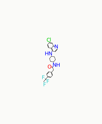 O=C(Cc1ccc(C(F)(F)CF)cc1)NC1CCC(Nc2ccnc3cc(Cl)ccc23)CC1